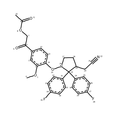 COc1cc(C(=O)COC(C)=O)ccc1ON1CCC(CC#N)C1(c1ccc(F)cc1)c1ccc(F)cc1